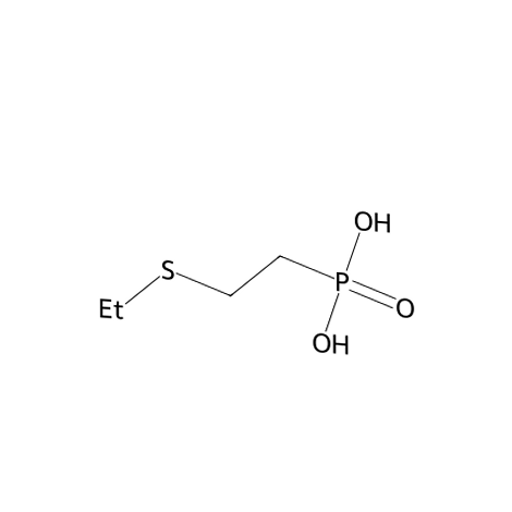 CCSCCP(=O)(O)O